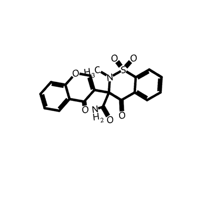 CN1C(C(N)=O)(c2coc3ccccc3c2=O)C(=O)c2ccccc2S1(=O)=O